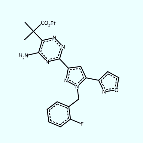 CCOC(=O)C(C)(C)c1nnc(-c2cc(-c3ccon3)n(Cc3ccccc3F)n2)nc1N